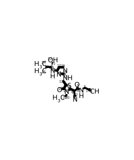 C#CCNC(=O)C(C#N)=c1sc(=CNc2nccc(N[C@@H](CO)C(C)C)n2)c(=O)n1CC